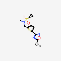 CN(Cc1ccc(-c2noc(C(F)(F)F)n2)s1)S(=O)(=O)C1CC1